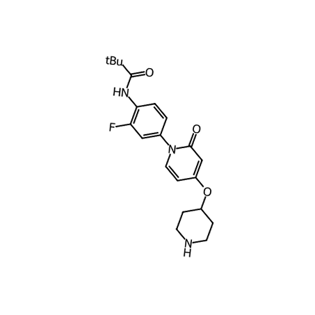 CC(C)(C)C(=O)Nc1ccc(-n2ccc(OC3CCNCC3)cc2=O)cc1F